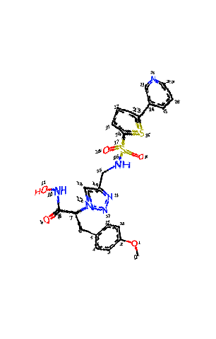 COc1ccc(C[C@@H](C(=O)NO)n2cc(CNS(=O)(=O)c3ccc(-c4cccnc4)s3)nn2)cc1